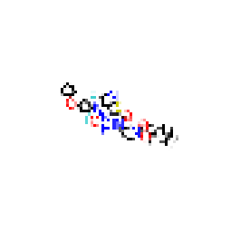 CC(C)(C)OC(=O)N1CCC[C@@H](NC(=O)C2Sc3nccc4c3C2NC(=O)N4c2c(F)cc(Oc3ccccc3)cc2F)C1